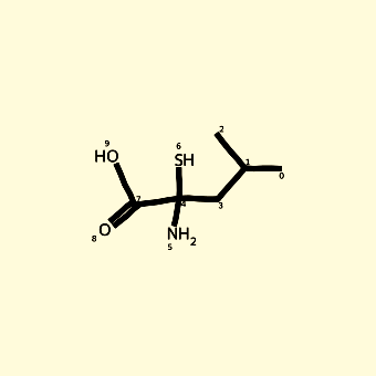 CC(C)CC(N)(S)C(=O)O